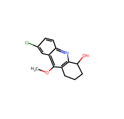 COc1c2c(nc3ccc(Cl)cc13)C(O)CCC2